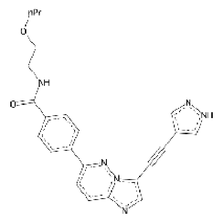 CCCOCCNC(=O)c1ccc(-c2ccc3ncc(C#Cc4cn[nH]c4)n3n2)cc1